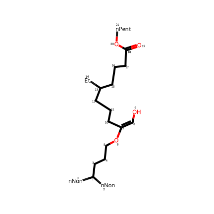 CCCCCCCCCC(CCCCCCCCC)CCCOC(=CO)CCCC(CC)CCCC(=O)OCCCCC